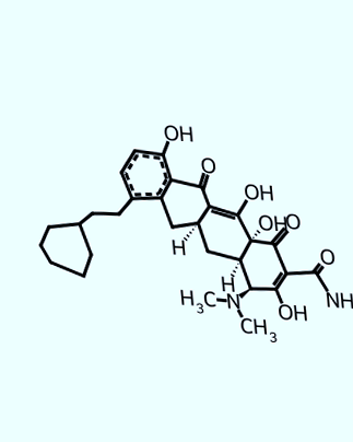 CN(C)[C@@H]1C(O)=C(C(N)=O)C(=O)[C@]2(O)C(O)=C3C(=O)c4c(O)ccc(CCC5CCCCC5)c4C[C@@H]3C[C@H]12